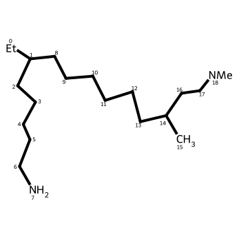 CCC(CCCCCN)CCCCCCC(C)CCNC